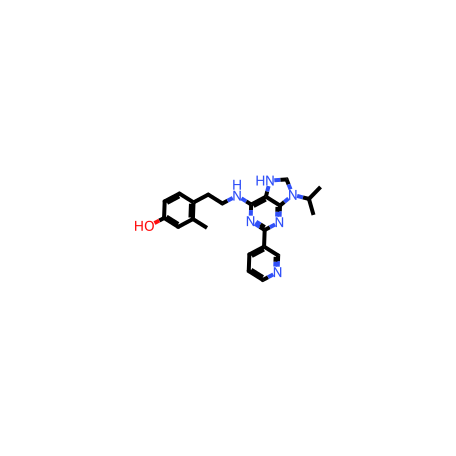 Cc1cc(O)ccc1CCNc1nc(-c2cccnc2)nc2c1NCN2C(C)C